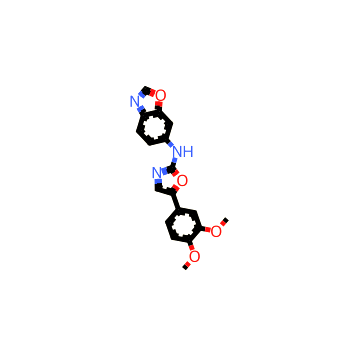 COc1ccc(-c2cnc(Nc3ccc4ncoc4c3)o2)cc1OC